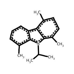 Cc1ccc(C)c2c1c1cccc(C)c1n2C(C)C